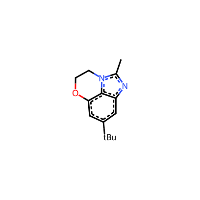 Cc1nc2cc(C(C)(C)C)cc3c2n1CCO3